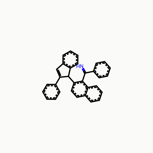 N=C(c1ccccc1)c1c(C2C(c3ccccc3)=Cc3ccccc32)ccc2ccccc12